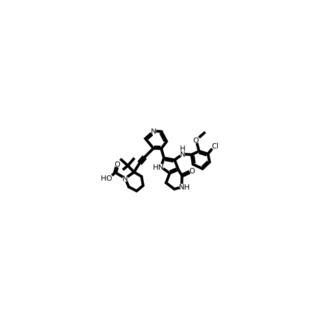 COc1c(Cl)cccc1Nc1c(-c2ccncc2C#CC2(C(C)(C)C)CCCCN2C(=O)O)[nH]c2c1C(=O)NCC2